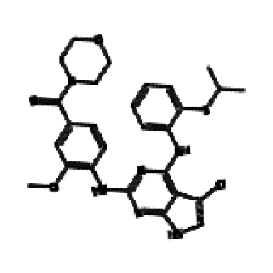 COc1cc(C(=O)N2CCOCC2)ccc1Nc1nc(Nc2ccccc2SC(C)C)c2c(Cl)c[nH]c2n1